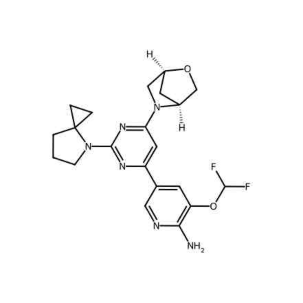 Nc1ncc(-c2cc(N3C[C@@H]4C[C@H]3CO4)nc(N3CCCC34CC4)n2)cc1OC(F)F